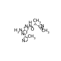 Cc1ccncc1-c1cc2cc(NC(=O)[C@@H]3[C@H](C)[C@H]3c3cnn(C)c3)ncc2c(N)n1